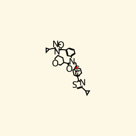 O=C(C1CCCOC1)N(CC12CCC(c3nc(C4CC4)cs3)(CC1)CC2)c1cccc(-c2nc(C3CC3)no2)c1